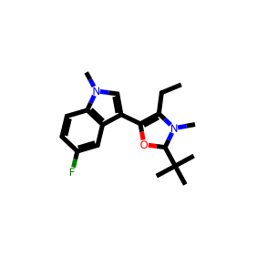 CCC1=C(c2cn(C)c3ccc(F)cc23)OC(C(C)(C)C)N1C